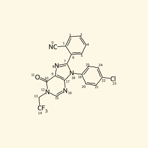 N#Cc1ccccc1-c1nc2c(=O)n(CC(F)(F)F)cnc2n1-c1ccc(Cl)cc1